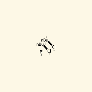 CCCCCl.CCCCCl.[B]